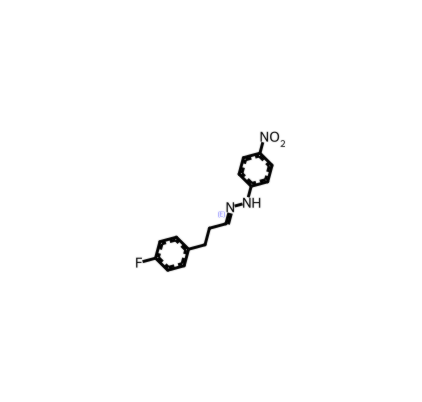 O=[N+]([O-])c1ccc(N/N=C/CCc2ccc(F)cc2)cc1